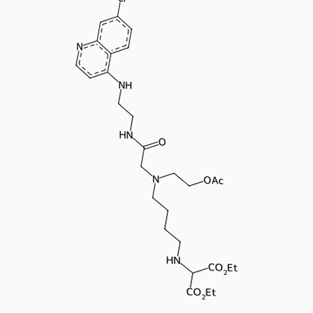 CCOC(=O)C(NCCCCN(CCOC(C)=O)CC(=O)NCCNc1ccnc2cc(Cl)ccc12)C(=O)OCC